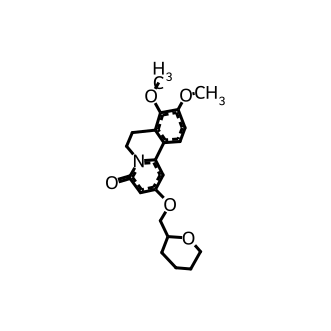 COc1ccc2c(c1OC)CCn1c-2cc(OCC2CCCCO2)cc1=O